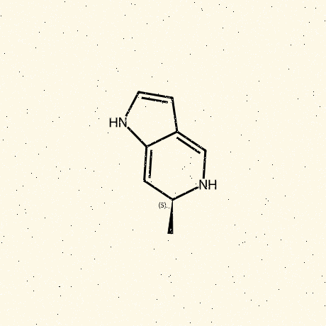 C[C@H]1C=c2[nH]ccc2=CN1